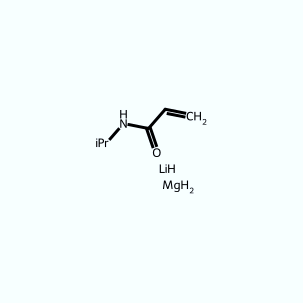 C=CC(=O)NC(C)C.[LiH].[MgH2]